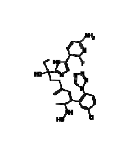 C=C(/C=C(/c1cc(Cl)ccc1-n1cnnn1)C(C)NO)CCC(O)(CC)c1ncc(-c2ccc(N)nc2F)[nH]1